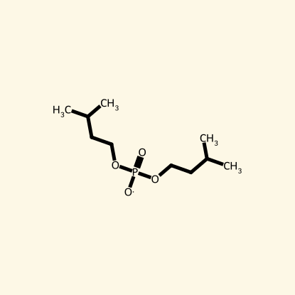 CC(C)CCOP([O])(=O)OCCC(C)C